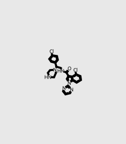 O=C(NCC(c1ccc(Cl)cc1)N1CCNCC1)c1cn(-c2ncccn2)c2cccc(Cl)c12